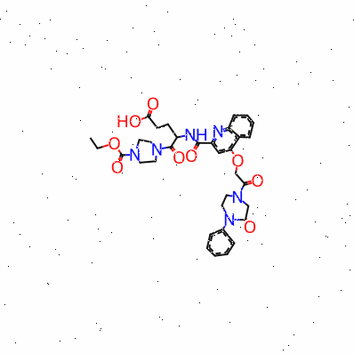 CCOC(=O)N1CCN(C(=O)C(CCC(=O)O)NC(=O)c2cc(OCC(=O)N3CCN(c4ccccc4)C(=O)C3)c3ccccc3n2)CC1